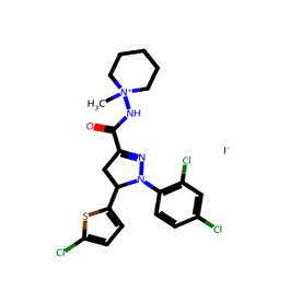 C[N+]1(NC(=O)C2=NN(c3ccc(Cl)cc3Cl)C(c3ccc(Cl)s3)C2)CCCCC1.[I-]